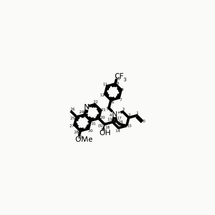 C=CC1C[N+]2(Cc3ccc(C(F)(F)F)cc3)CCC1CC2[C@@H](O)c1ccnc2c(C)cc(OC)cc12